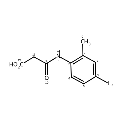 Cc1cc(I)ccc1NC(=O)CC(=O)O